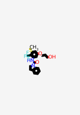 CSc1cc(OCCCO)cc(NC(=O)N2CCc3ccccc32)c1C(F)(F)F